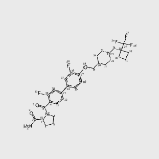 NC(=O)[C@@H]1CCCN1C(=O)c1ccc(-c2ccc(OCC3CCN(CC4(C(F)(F)F)CCC4)CC3)c(F)c2)cc1F